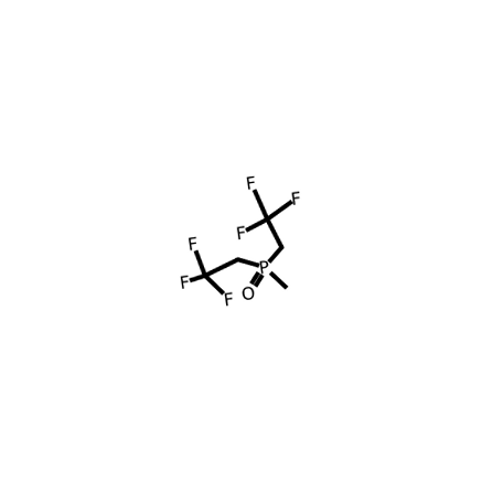 CP(=O)(CC(F)(F)F)CC(F)(F)F